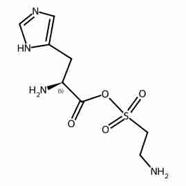 NCCS(=O)(=O)OC(=O)[C@@H](N)Cc1cnc[nH]1